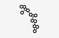 c1ccc(-n2c3cc(-c4ccc5c(c4)c4ccccc4n5-c4cccc5c(-c6ccc7c8c(cccc68)-c6ccccc6-7)cccc45)ccc3c3ccc4ccccc4c32)cc1